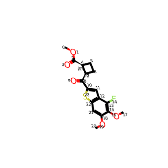 COC(=O)[C@H]1CC[C@H]1C(=O)c1cc2c(F)c(OC)c(OC)cc2s1